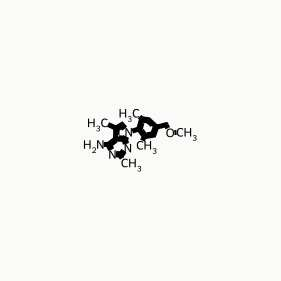 COCc1cc(C)c(-n2cc(C)c3c(N)nc(C)nc32)c(C)c1